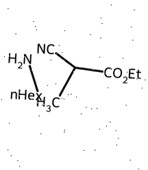 CCCCCCN.CCOC(=O)C(C)C#N